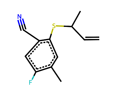 C=CC(C)Sc1cc(C)c(F)cc1C#N